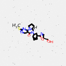 CSc1ncc2c(n1)N1CCC[C@H]1CN(c1cccc(-c3ncc(CO)o3)c1)C2=O